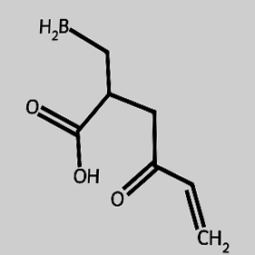 BCC(CC(=O)C=C)C(=O)O